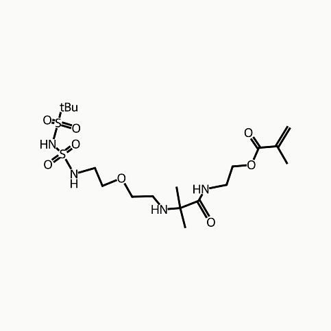 C=C(C)C(=O)OCCNC(=O)C(C)(C)NCCOCCNS(=O)(=O)NS(=O)(=O)C(C)(C)C